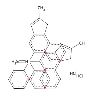 CC1=Cc2c[c]([Hf](=[SiH2])([c]3ccccc3)([c]3ccccc3)[c]3cc4c(c5ccccc35)CC(C)=C4)c3ccccc3c2C1.Cl.Cl